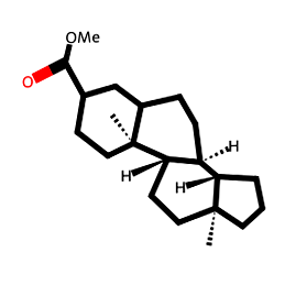 COC(=O)C1CC[C@@]2(C)C(CC[C@H]3[C@@H]4CCC[C@@]4(C)CC[C@@H]32)C1